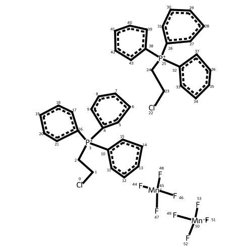 ClCC[P+](c1ccccc1)(c1ccccc1)c1ccccc1.ClCC[P+](c1ccccc1)(c1ccccc1)c1ccccc1.[F][Mn-]([F])([F])[F].[F][Mn-]([F])([F])[F]